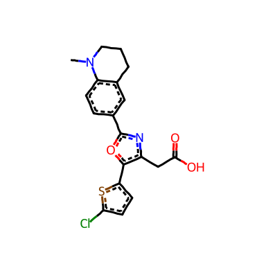 CN1CCCc2cc(-c3nc(CC(=O)O)c(-c4ccc(Cl)s4)o3)ccc21